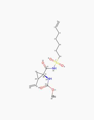 C=CCCCCCS(=O)(=O)NC(=O)[C@@]1(NC(=O)OC(C)(C)C)CC1C=C